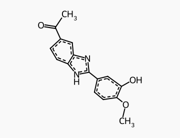 COc1ccc(-c2nc3cc(C(C)=O)ccc3[nH]2)cc1O